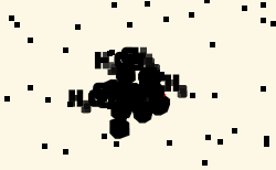 CC(C)(C)c1ccc(N2c3ccc(C(C)(C)C)cc3B3c4ccc(-c5ccccc5)cc4N(c4cccc(-c5ccccc5)c4)c4cc(N5c6ccccc6C6(C)CCCC56C)cc2c43)cc1